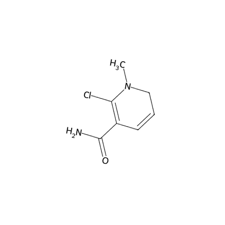 CN1CC=CC(C(N)=O)=C1Cl